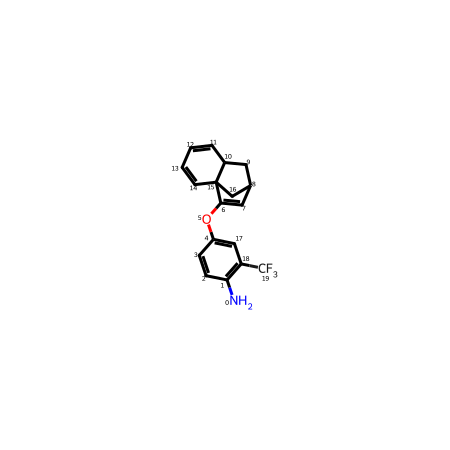 Nc1ccc(OC2=CC3CC4C=CC=CC24C3)cc1C(F)(F)F